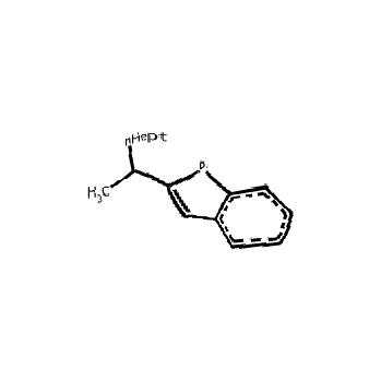 CCCCCCCC(C)C1=Cc2ccccc2[P]1